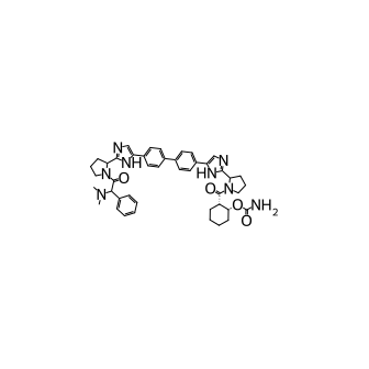 CN(C)C(C(=O)N1CCCC1c1ncc(-c2ccc(-c3ccc(-c4cnc(C5CCCN5C(=O)[C@H]5CCCC[C@H]5OC(N)=O)[nH]4)cc3)cc2)[nH]1)c1ccccc1